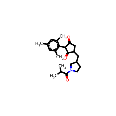 Cc1cc(C)c(C2C(=O)CC(CC3CCN(C(=O)C(C)C)C3)C2=O)c(C)c1